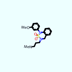 CNCCCN1Cc2ccccc2N(c2cccc(OC)c2)S1(=O)=O